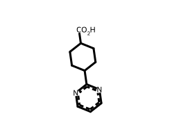 O=C(O)C1CCC(c2ncccn2)CC1